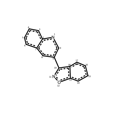 [c]1nc2ccccc2cc1-c1noc2ccccc12